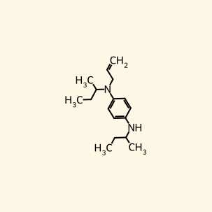 C=CCN(c1ccc(NC(C)CC)cc1)C(C)CC